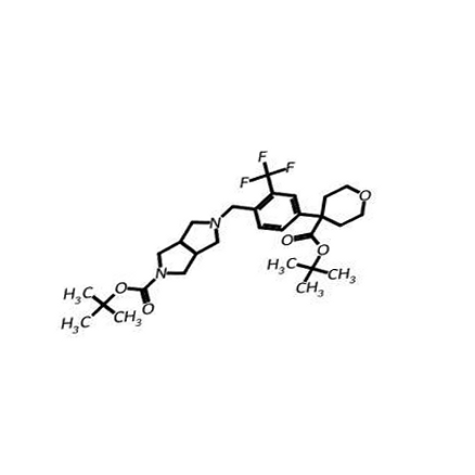 CC(C)(C)OC(=O)N1CC2CN(Cc3ccc(C4(C(=O)OC(C)(C)C)CCOCC4)cc3C(F)(F)F)CC2C1